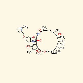 CO[C@H]1/C=C/O[C@@]2(C)Oc3c(C)c(O)c4c(=O)c(c5oc6cc(OCC7CCCN7C)ccc6nc-5c4c3C2=O)NC(=O)/C(C)=C\C=C\[C@H](C)[C@H](O)[C@@H](C)[C@@H](C)[C@@H](C)[C@H](OC(C)=O)[C@@H]1C